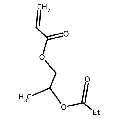 C=CC(=O)OCC(C)OC(=O)CC